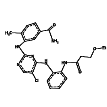 CCOCCC(=O)Nc1ccccc1Nc1nc(Nc2cc(C(N)=O)ccc2C)ncc1Cl